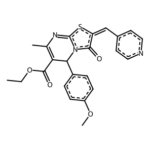 CCOC(=O)C1=C(C)N=c2s/c(=C/c3ccncc3)c(=O)n2C1c1ccc(OC)cc1